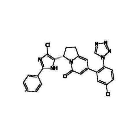 O=c1cc(-c2cc(Cl)ccc2-n2cnnn2)cc2n1[C@H](c1[nH]c(-c3cc[c]cc3)nc1Cl)CC2